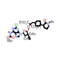 C#C[C@@]1(OC(C)=O)[C@@H](COC(Cc2ccc(-c3cccn(CCC)c3=O)cc2)(C(=O)OCC)C(=O)OCC)O[C@@H](n2cnc3c(N(C)C(=O)OC(C)(C)C)nc(Cl)nc32)[C@@H]1OC(C)=O